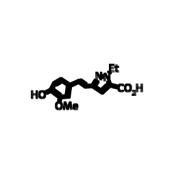 CCn1nc(C=Cc2ccc(O)c(OC)c2)cc1C(=O)O